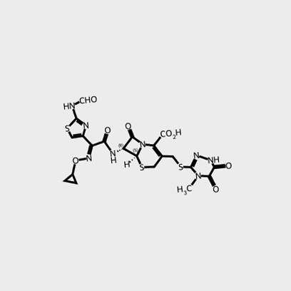 Cn1c(SCC2=C(C(=O)O)N3C(=O)[C@@H](NC(=O)C(=NOC4CC4)c4csc(NC=O)n4)[C@@H]3SC2)n[nH]c(=O)c1=O